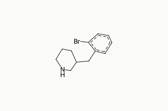 Brc1ccccc1CC1CCCNC1